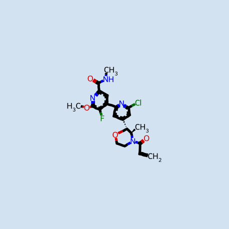 C=CC(=O)N1CCO[C@H](c2cc(Cl)nc(-c3cc(C(=O)NC)nc(OC)c3F)c2)[C@H]1C